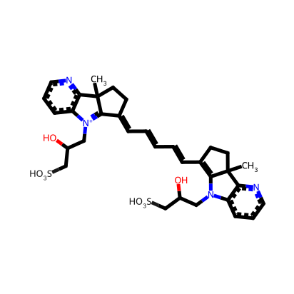 CC12CCC(/C=C/C=C/C=C3\CCC4(C)C3=[N+](CC(O)CS(=O)(=O)O)c3cccnc34)=C1N(CC(O)CS(=O)(=O)O)c1cccnc12